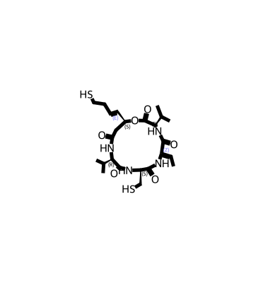 C/C=C1\NC(=O)[C@@H](CS)NC(=O)[C@@H](C(C)C)NC(=O)C[C@@H](/C=C/CCS)OC(=O)[C@@H](C(C)C)NC1=O